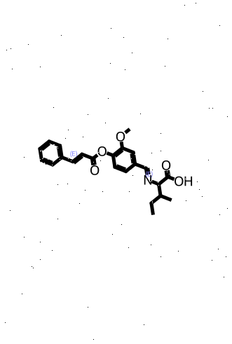 CCC(C)C(/N=C/c1ccc(OC(=O)/C=C/c2ccccc2)c(OC)c1)C(=O)O